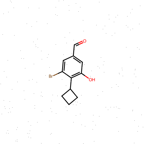 O=Cc1cc(O)c(C2CCC2)c(Br)c1